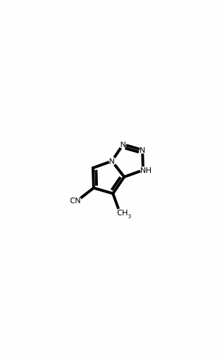 [C-]#[N+]c1cn2nn[nH]c2c1C